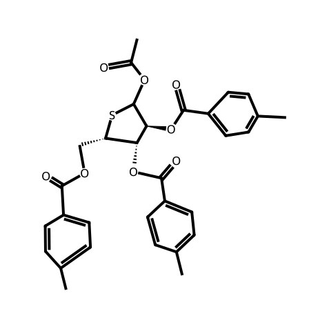 CC(=O)OC1S[C@@H](COC(=O)c2ccc(C)cc2)[C@@H](OC(=O)c2ccc(C)cc2)[C@@H]1OC(=O)c1ccc(C)cc1